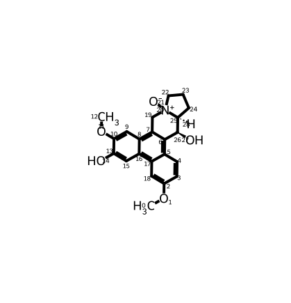 COc1ccc2c3c(c4cc(OC)c(O)cc4c2c1)C[N+]1([O-])CCC[C@H]1[C@H]3O